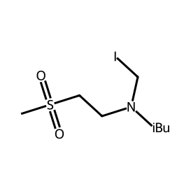 CCC(C)N(CI)CCS(C)(=O)=O